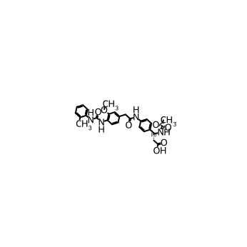 COc1cc(CC(=O)Nc2ccc([C@@H](CC(=O)O)NS(C)(=O)=O)cc2)ccc1NC(=O)Nc1ccccc1C